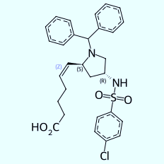 O=C(O)CCC/C=C\[C@@H]1C[C@@H](NS(=O)(=O)c2ccc(Cl)cc2)CN1C(c1ccccc1)c1ccccc1